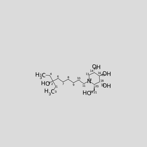 CCC(O)(CC)CCCCCCN1C[C@H](O)[C@@H](O)[C@H](O)[C@H]1CO